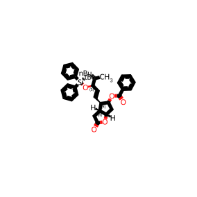 CCCCC(C)[C@@H](C=C[C@H]1C(OC(=O)c2ccccc2)C[C@@H]2OC(=O)C[C@@H]21)O[Si](c1ccccc1)(c1ccccc1)C(C)(C)C